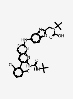 CC(C)(C)NC(=O)Nc1nc2nc(Nc3ccc4oc(CN(C(=O)O)C(C)(C)C)nc4c3)ncc2cc1-c1c(Cl)cccc1Cl